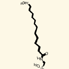 CCCCCCCCCCCCCCCCCCCCCCC(=O)NCC(=O)O